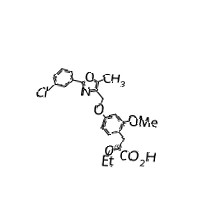 CCO[C@@H](Cc1ccc(OCc2nc(-c3cccc(Cl)c3)oc2C)cc1OC)C(=O)O